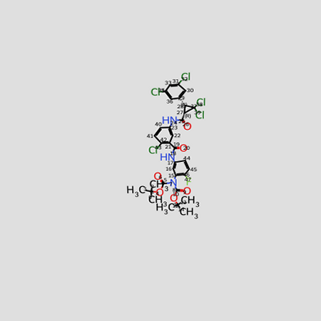 CC(C)(C)OC(=O)N(C(=O)OC(C)(C)C)c1cc(NC(=O)c2cc(NC(=O)[C@H]3[C@H](c4cc(Cl)cc(Cl)c4)C3(Cl)Cl)ccc2Cl)ccc1F